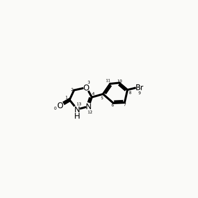 O=C1COC(c2ccc(Br)cc2)=NN1